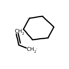 [CH2]C=C.[CH]1CCCCC1